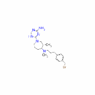 CC1CN(C2=NC(N)=NCN2)CCCC1N(C)CCCc1ccc(CBr)cc1